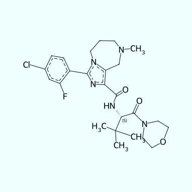 CN1CCCn2c(-c3ccc(Cl)cc3F)nc(C(=O)N[C@H](C(=O)N3CCOCC3)C(C)(C)C)c2C1